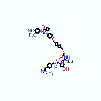 Cc1ncsc1-c1ccc(CNC(=O)[C@@H]2C[C@@H](O)CN2C(=O)C(NC(=O)COCC2CC3(C2)CC(COc2ccc(N4C(=S)N(c5ccc(C#N)c(C(F)(F)F)c5)C(=O)C45CCC5)cc2)C3)C(C)(C)C)cc1